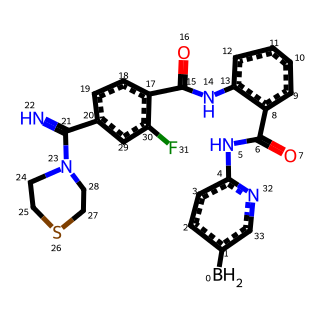 Bc1ccc(NC(=O)c2ccccc2NC(=O)c2ccc(C(=N)N3CCSCC3)cc2F)nc1